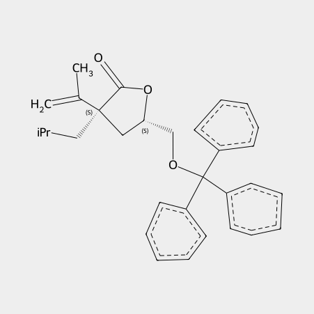 C=C(C)[C@]1(CC(C)C)C[C@@H](COC(c2ccccc2)(c2ccccc2)c2ccccc2)OC1=O